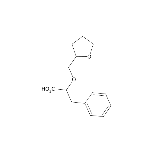 O=C(O)C(Cc1ccccc1)OCC1CCCO1